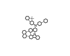 CC1(C)c2ccccc2-c2ccc(N(c3ccc(-c4ccccc4)cc3)c3ccc(-n4c5ccccc5c5ccc6c(c54)-c4ccccc4-c4cccc5cccc-6c45)cc3)cc21